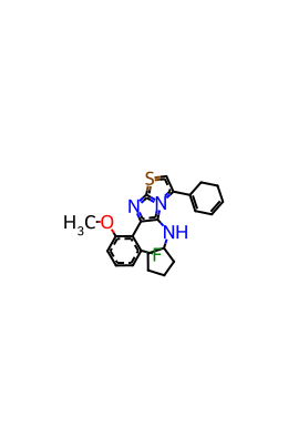 COc1cccc(F)c1-c1nc2scc(C3=CC=CCC3)n2c1NC1CCCC1